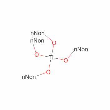 CCCCCCCCC[O][Ti]([O]CCCCCCCCC)([O]CCCCCCCCC)[O]CCCCCCCCC